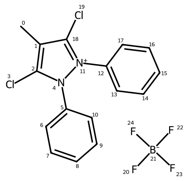 Cc1c(Cl)n(-c2ccccc2)[n+](-c2ccccc2)c1Cl.F[B-](F)(F)F